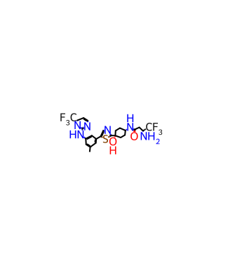 Cc1cc(Nc2nccc(C(F)(F)F)n2)cc(-c2cnc([C@]3(O)CC[C@@H](NC(=O)CC(N)C(F)(F)F)CC3)s2)c1